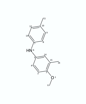 COc1ccc(Nc2ccc(C)cc2)cc1C